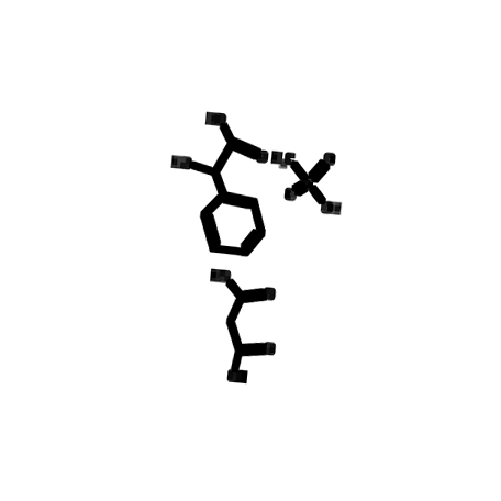 CS(=O)(=O)O.O=C(O)C(O)c1ccccc1.O=C(O)CC(=O)O